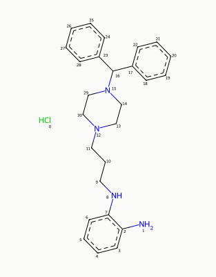 Cl.Nc1ccccc1NCCCN1CCN(C(c2ccccc2)c2ccccc2)CC1